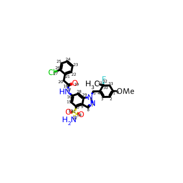 COC1=CC=C(Cn2ncc3c(S(N)(=O)=O)cc(NC(=O)Cc4ccccc4Cl)cc32)C(C)(F)C1